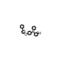 [3H]c1cccc(N(c2ccccc2)c2ccc(Oc3ccc(-c4ccccc4)s3)cc2)c1